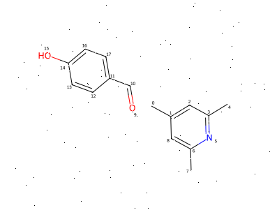 Cc1cc(C)nc(C)c1.O=Cc1ccc(O)cc1